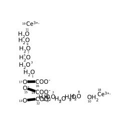 O.O.O.O.O.O.O.O.O.O.O.O.O=C([O-])[O-].O=C([O-])[O-].O=C([O-])[O-].[Ce+3].[Ce+3]